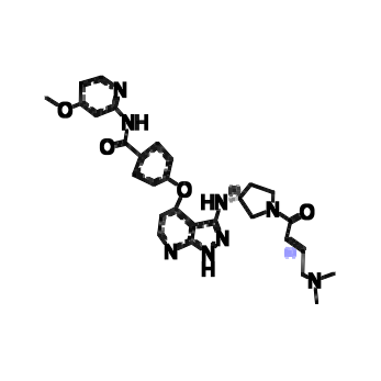 COc1ccnc(NC(=O)c2ccc(Oc3ccnc4[nH]nc(N[C@@H]5CCN(C(=O)/C=C/CN(C)C)C5)c34)cc2)c1